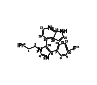 CC(C)CCn1cnc(-c2ccc(F)cc2)c1-c1ccnc2[nH]ccc12